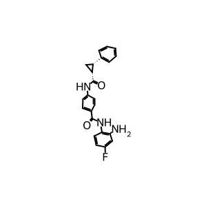 Nc1cc(F)ccc1NC(=O)c1ccc(NC(=O)[C@@H]2C[C@@H]2c2ccccc2)cc1